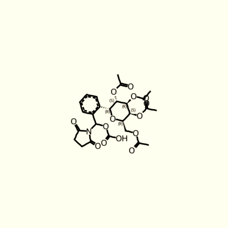 CC(=O)OC[C@H]1O[C@H](c2ccccc2C(OC(=O)O)N2C(=O)CCC2=O)[C@H](OC(C)=O)[C@@H](OC(C)=O)[C@H]1OC(C)=O